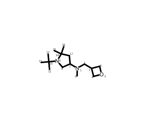 CN(CC1COC1)C1CN(C(C)(C)C)C(C)(C)C1